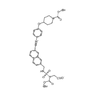 CC(C)(C)OC(=O)N1CCC(Oc2ccc([N+]#Cc3ccc4ccc(CNS(=O)(=O)N(CC(=O)[O-])C(=O)OC(C)(C)C)cc4c3)cc2)CC1